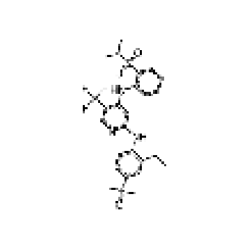 CCc1cc(P(C)(C)=O)ccc1Nc1cc(Nc2ccccc2S(=O)(=O)C(C)C)c(C(F)(F)F)cn1